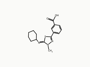 Cn1nc(-c2cccc(C(=O)O)c2)sc1=NC1CCCCC1